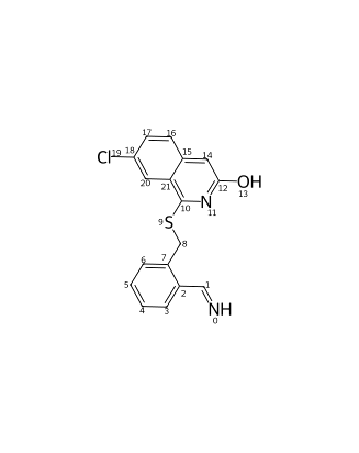 N=Cc1ccccc1CSc1nc(O)cc2ccc(Cl)cc12